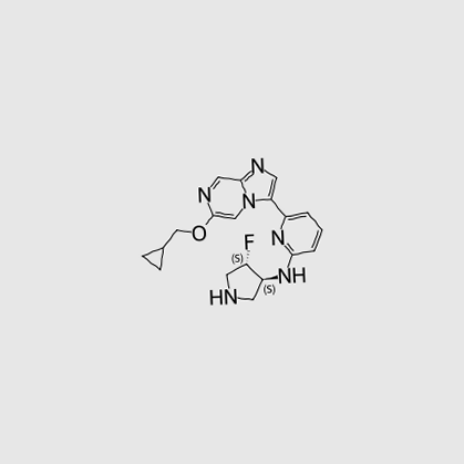 F[C@H]1CNC[C@@H]1Nc1cccc(-c2cnc3cnc(OCC4CC4)cn23)n1